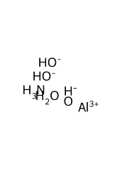 N.O.[Al+3].[OH-].[OH-].[OH-]